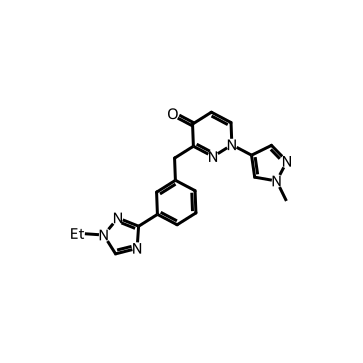 CCn1cnc(-c2cccc(Cc3nn(-c4cnn(C)c4)ccc3=O)c2)n1